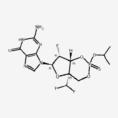 CC(C)OP1(=S)OC[C@@]2(C(F)F)O[C@@H](n3cnc4c(=O)[nH]c(N)nc43)[C@H](F)[C@@H]2O1